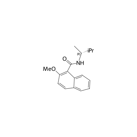 COc1ccc2ccccc2c1C(=O)N[C@H](C)C(C)C